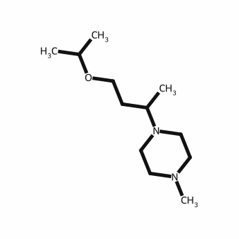 CC(C)OCCC(C)N1CCN(C)CC1